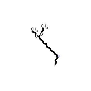 CCCOC(CCCCCCCCC/C=C\CCI)OCCC